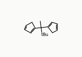 CC(C)(C)C(C)(C1=CC=CC1)C1=CC=CC1